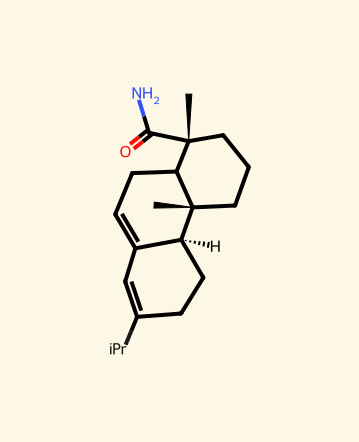 CC(C)C1=CC2=CCC3[C@](C)(C(N)=O)CCC[C@]3(C)[C@H]2CC1